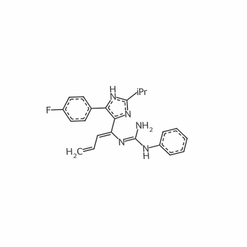 C=C/C=C(\N=C(/N)Nc1ccccc1)c1nc(C(C)C)[nH]c1-c1ccc(F)cc1